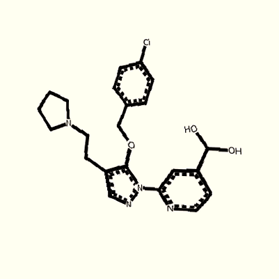 OC(O)c1ccnc(-n2ncc(CCN3CCCC3)c2OCc2ccc(Cl)cc2)c1